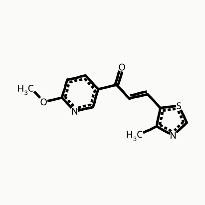 COc1ccc(C(=O)C=Cc2scnc2C)cn1